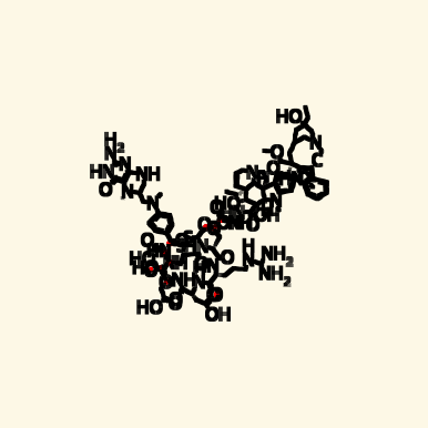 CCC1(O)CC2CN(CCc3c([nH]c4ccccc34)[C@](C(=O)OC)(c3cc4c(cc3OC)N(C)[C@@H]3[C@](O)(C(=O)NNC(=O)OCCSSC[C@H](NC(=O)[C@H](CC(=O)O)NC(=O)[C@H](CC(=O)O)NC(=O)[C@H](CCCNC(N)N)NC(=O)[C@H](CC(=O)O)NC(=O)CC[C@H](NC(=O)c5ccc(N(C)CC6CNc7nc(N)[nH]c(=O)c7N6C)cc5)C(=O)O)C(=O)O)[C@@H](O)[C@@]5(CC)C=CCN6CC[C@@]43[C@H]65)C2)C1